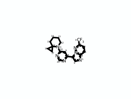 FC(F)(F)c1ccc2ncc(-c3cc(N4CCCCC45CC5)ncn3)n2n1